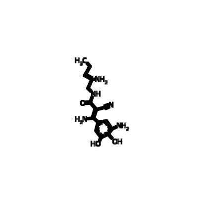 CC/C=C(\N)CNC(=O)/C(C#N)=C(\N)c1cc(N)c(O)c(O)c1